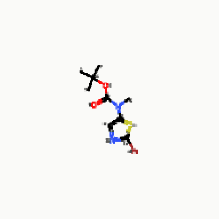 CN(C(=O)OC(C)(C)C)c1cnc(Br)s1